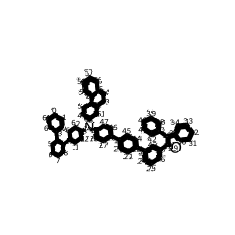 c1ccc(-c2ccccc2-c2ccc(N(c3ccc(-c4ccc(-c5cccc(-c6oc7ccccc7c6-c6ccccc6)c5)cc4)cc3)c3ccc4c(ccc5ccccc54)c3)cc2)cc1